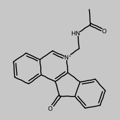 CC(=O)NC[n+]1cc2ccccc2c2c1-c1ccccc1C2=O